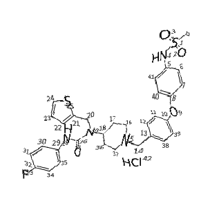 CS(=O)(=O)Nc1ccc(Oc2ccc(CN3CCC(N(Cc4cccs4)C(=O)Nc4ccc(F)cc4)CC3)cc2)cc1.Cl